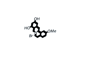 COc1ccc2cc[n+]3cc4c(O)cc(O)cc4cc3c2c1.[Br-]